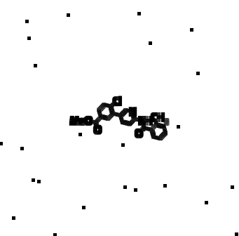 COC(=O)c1ccc(Cl)c(-c2ccc(NC(=O)c3ccccc3C)nc2)c1